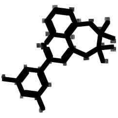 Cc1cc(C)cc(-c2cc3c4c(cccc4n2)CC(C)(C)C(C)(C)C3)c1